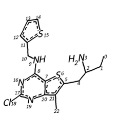 CCC(N)Cc1sc2c(NCc3cccs3)nc(Cl)nc2c1C